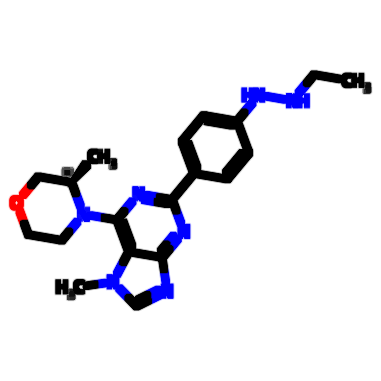 CCNNc1ccc(-c2nc(N3CCOC[C@H]3C)c3c(ncn3C)n2)cc1